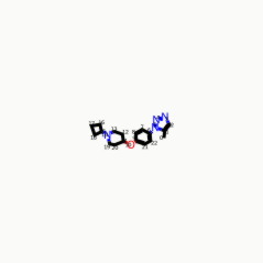 Cc1[c]nnn1-c1ccc(OC2CCN(C3CCC3)CC2)cc1